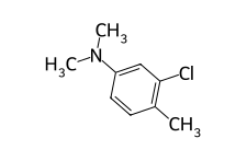 Cc1ccc(N(C)C)cc1Cl